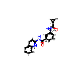 O=C(Nc1ccc2ccccc2n1)c1cccc(NC(=O)C2CC2)c1